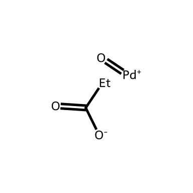 CCC(=O)[O-].[O]=[Pd+]